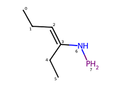 CC/C=C(\CC)NP